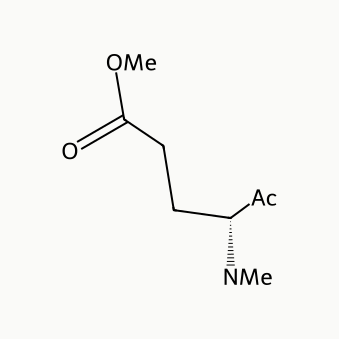 CN[C@H](CCC(=O)OC)C(C)=O